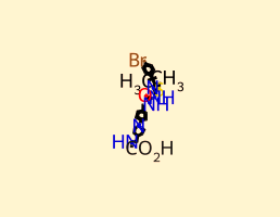 CC(C)(c1ccc(Br)cc1)c1csc(NC(=O)NCc2ccc(N3CCC(CNC(=O)O)CC3)cc2)n1